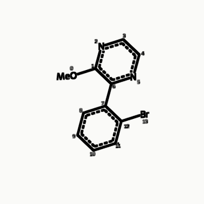 COc1nccnc1-c1ccc[c]c1Br